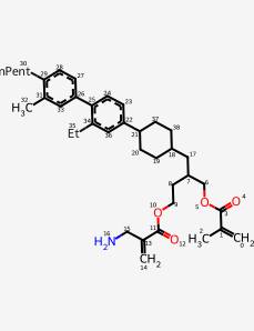 C=C(C)C(=O)OCC(CCOC(=O)C(=C)CN)CC1CCC(c2ccc(-c3ccc(CCCCC)c(C)c3)c(CC)c2)CC1